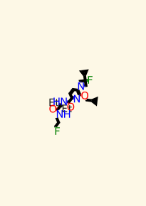 CCC(CC)(NC(=O)c1ccc(N2CC(F)(C3CC3)C2)c(OCC2CC2)n1)C(=O)NCCCF